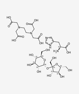 N[C@@H](Cc1cnc[nH]1)C(=O)O.O=C(O)CN(CCN(CC(=O)O)CC(=O)O)CC(=O)O.OC[C@H]1O[C@@](CO)(O[C@H]2O[C@H](CO)[C@@H](O)[C@H](O)[C@H]2O)[C@@H](O)[C@@H]1O